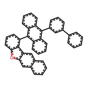 c1ccc(-c2cccc(-c3c4ccccc4c(-c4cccc5oc6cc7ccccc7cc6c45)c4ccccc34)c2)cc1